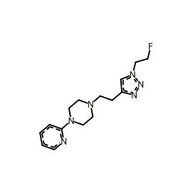 FCCn1cc(CCN2CCN(c3ccccn3)CC2)nn1